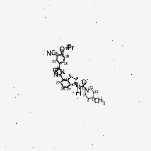 CC1CCN(C(=O)N[C@H]2CCc3c(-c4noc(-c5ccc(OC(C)C)c(C#N)c5)n4)cccc32)CC1